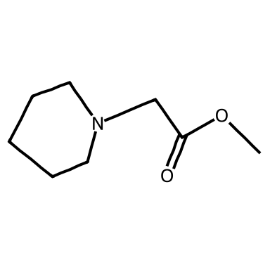 COC(=O)CN1CCCCC1